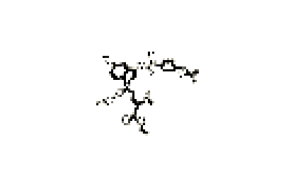 CCOC(=O)C(CCC(=O)n1cc(NC(=O)Nc2ccc(SC(F)(F)F)cc2)c2cc(F)ccc21)N(C)C.Cl